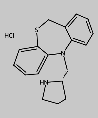 Cl.c1ccc2c(c1)CSc1ccccc1N2C[C@@H]1CCCN1